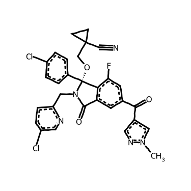 Cn1cc(C(=O)c2cc(F)c3c(c2)C(=O)N(Cc2ccc(Cl)cn2)[C@@]3(OCC2(C#N)CC2)c2ccc(Cl)cc2)cn1